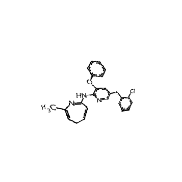 CC1=CCC=CC(Nc2ncc(Sc3ccccc3Cl)cc2Oc2ccccc2)=N1